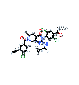 C#Cc1cc(C(=O)N2Cc3nc(NC(C)C4CC4)n(-c4cc(Cl)c(C(=O)NC)cc4Cl)c(=O)c3CC2C)ccc1Cl